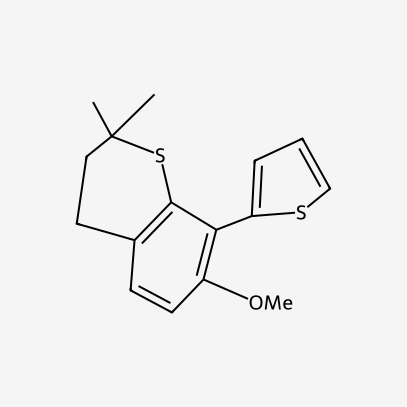 COc1ccc2c(c1-c1cccs1)SC(C)(C)CC2